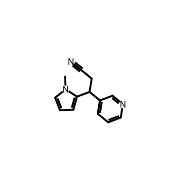 Cn1cccc1C(CC#N)c1cccnc1